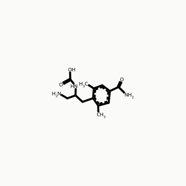 Cc1cc(C(N)=O)cc(C)c1CC(CN)NC(=O)O